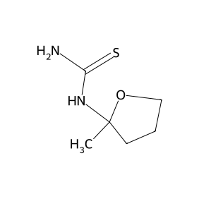 CC1(NC(N)=S)CCCO1